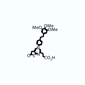 COc1cc(CCc2ccc(N3C=C(CCC(=O)O)N=C4SC(=O)CC4=C3)cc2)cc(OC)c1OC